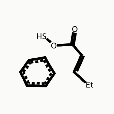 CCC=CC(=O)OS.c1ccccc1